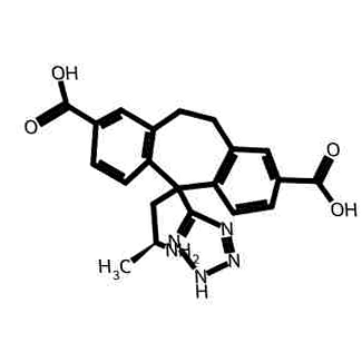 C[C@H](N)CC1(c2nn[nH]n2)c2ccc(C(=O)O)cc2CCc2cc(C(=O)O)ccc21